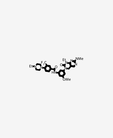 CCN1CCN(c2ccc(C(=O)Nc3cc(OC)cc(N4Cc5cnc(NC)nc5N(CC)C4=O)c3)cc2C(F)(F)F)CC1